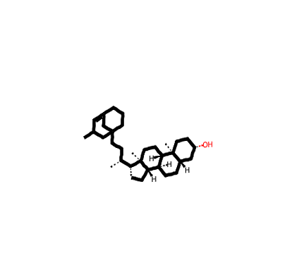 CC1C=C2CCCC(CC[C@@H](C)[C@H]3CC[C@H]4[C@@H]5CC[C@H]6C[C@@H](O)CC[C@]6(C)[C@H]5CC[C@]34C)(C2)C1